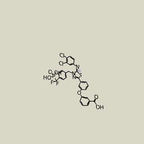 O=C(O)c1cccc(Oc2cccc(-c3nn(Cc4ccc(C(F)(F)P(=O)(O)O)cc4)/c(=N\c4ccc(Cl)c(Cl)c4)s3)c2)c1